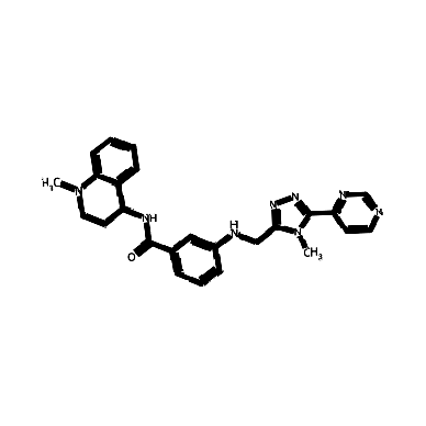 CN1CCC(NC(=O)c2cccc(NCc3nnc(-c4ccncn4)n3C)c2)c2ccccc21